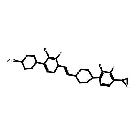 COC1CCC(C2=CCC(/C=C/C3CCC(c4ccc(C5CO5)c(F)c4F)CC3)C(F)=C2F)CC1